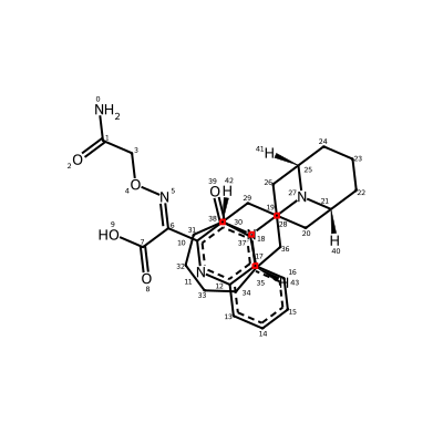 NC(=O)CO/N=C(\C(=O)O)c1nc2ccccc2n(C2C[C@H]3CCC[C@@H](C2)N3C2C[C@H]3CCCC[C@@H](C2)C3)c1=O